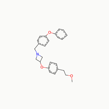 COCCc1ccc(OC2CN(Cc3ccc(Oc4ccccc4)cc3)C2)cc1